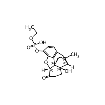 CCOP(=O)(O)Oc1ccc2c3c1O[C@H]1C(=O)CC[C@@]4(O)[C@@H](C2)N(C)CC[C@]314